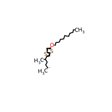 C[CH]CCC(C)c1cc2sc(OCCCCCCCCCCC)cc2s1